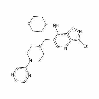 CCn1ncc2c(NC3CCOCC3)c(CN3CCN(c4cnccn4)CC3)cnc21